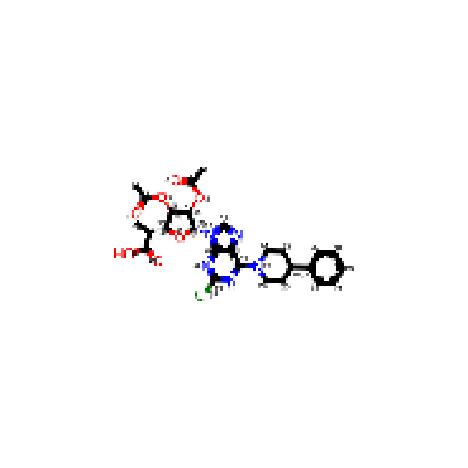 CC(=O)O[C@@H]1[C@H](OC(C)=O)[C@@H](C(C)C(=O)O)O[C@H]1n1cnc2c(N3CCC(c4ccccc4)CC3)nc(Cl)nc21